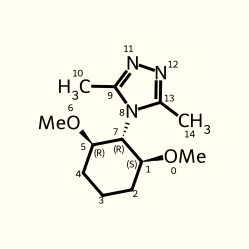 CO[C@H]1CCC[C@@H](OC)[C@@H]1n1c(C)nnc1C